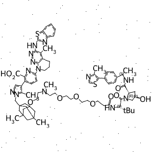 Cc1ncsc1-c1ccc([C@H](C)NC(=O)[C@H]2C[C@@H](O)CN2C(=O)[C@@H](NC(=O)CCOCCOCCOCCN(C)CCOC23CC4(C)CC(C)(CC(Cn5ncc(-c6ccc(N7CCCc8c7nnc(Nc7nc9ccccc9s7)c8C)nc6C(=O)O)c5C)(C4)C2)C3)C(C)(C)C)cc1